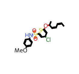 C/C=C\C=C/C(C)OC1=CC(Cl)C=C(S(=O)(=O)Nc2ccc(OC)cc2)S1